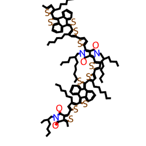 CCCCCCc1cc(C)sc1-c1sc2cccc3c4c(-c5sc(-c6ccc(C7=C8C(=O)N(CC(CCCC)CCCCCC)C(c9ccc(-c%10cc(CCCCCC)c(-c%11sc%12cccc%13c%14c(-c%15sc(-c%16sc(C)c%17c%16C(=O)N(CC(CC)CCCC)C%17=O)cc%15CCCCCC)sc%15cccc(c%11c%12%13)c%15%14)s%10)s9)=C8C(=O)N7CC(CCCC)CCCCCC)s6)cc5CCCCCC)sc5cccc(c1c23)c54